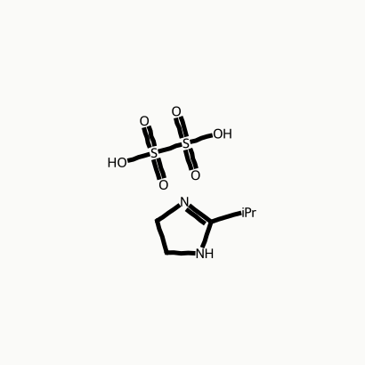 CC(C)C1=NCCN1.O=S(=O)(O)S(=O)(=O)O